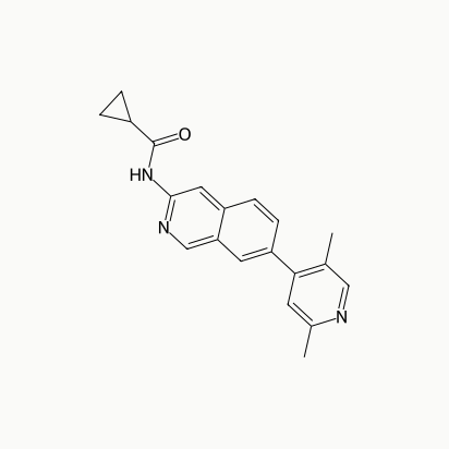 Cc1cc(-c2ccc3cc(NC(=O)C4CC4)ncc3c2)c(C)cn1